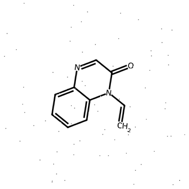 C=Cn1c(=O)cnc2ccccc21